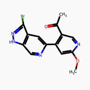 COc1cc(-c2cc3c(Br)n[nH]c3cn2)c(C(C)=O)cn1